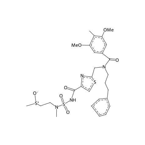 COc1cc(C(=O)N(CCCc2ccccc2)Cc2nc(C(=O)NS(=O)(=O)N(C)CC[S+](C)[O-])cs2)cc(OC)c1C